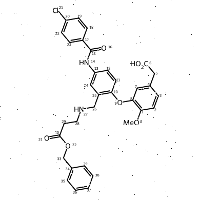 COc1ccc(CC(=O)O)cc1Oc1ccc(NC(=O)c2ccc(Cl)cc2)cc1CNCCC(=O)OCc1ccccc1